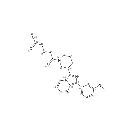 COc1cccc(-c2nc(C3CCCN(C(=O)COCC(=O)O)C3)n3ccccc23)c1